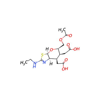 CCNC1=N[C@@H]2[C@H](CC(=O)O)[C@H](CC(=O)O)[C@H](COC(C)=O)O[C@@H]2S1